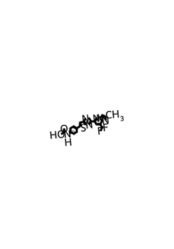 Cc1cn2nc(-c3cnc4cc(C5=CC[C@H](NC(=O)O)CC5)sc4n3)cc(C(F)F)c2n1